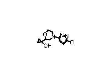 OC1(C2CN(c3ccc(Cl)nn3)CCO2)CC1